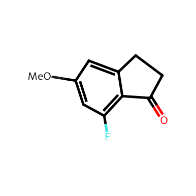 COc1cc(F)c2c(c1)CCC2=O